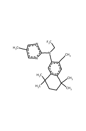 Cc1cnc(N(CC(F)(F)F)c2cc3c(cc2C)C(C)(C)CCC3(C)C)nc1